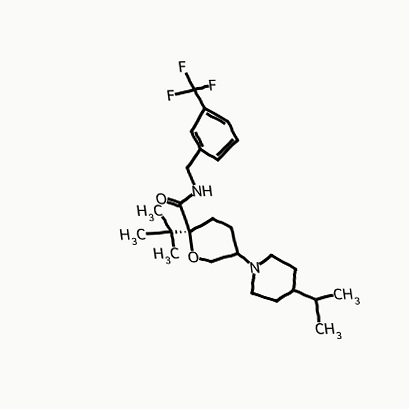 CC(C)C1CCN(C2CC[C@@](C(=O)NCc3cccc(C(F)(F)F)c3)(C(C)(C)C)OC2)CC1